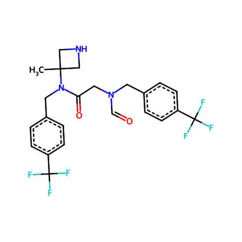 CC1(N(Cc2ccc(C(F)(F)F)cc2)C(=O)CN(C=O)Cc2ccc(C(F)(F)F)cc2)CNC1